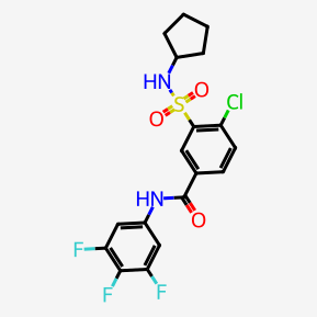 O=C(Nc1cc(F)c(F)c(F)c1)c1ccc(Cl)c(S(=O)(=O)NC2CCCC2)c1